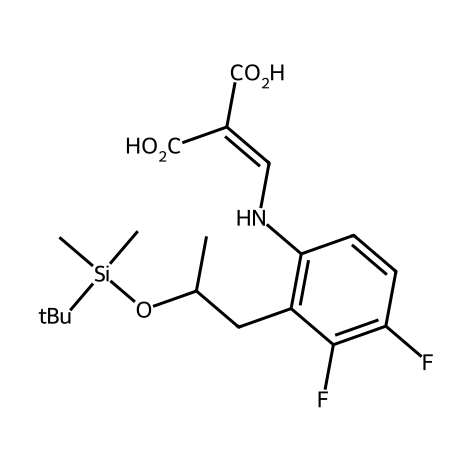 CC(Cc1c(NC=C(C(=O)O)C(=O)O)ccc(F)c1F)O[Si](C)(C)C(C)(C)C